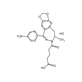 CC1Cc2cc3c(cc2C(c2ccc(N)cc2)=NN1C(=O)CCCC(=O)O)OCO3.Cl